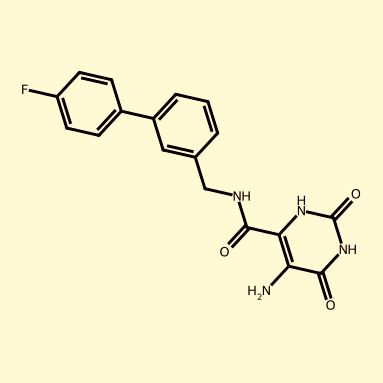 Nc1c(C(=O)NCc2cccc(-c3ccc(F)cc3)c2)[nH]c(=O)[nH]c1=O